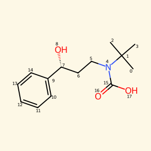 CC(C)(C)N(CC[C@@H](O)c1ccccc1)C(=O)O